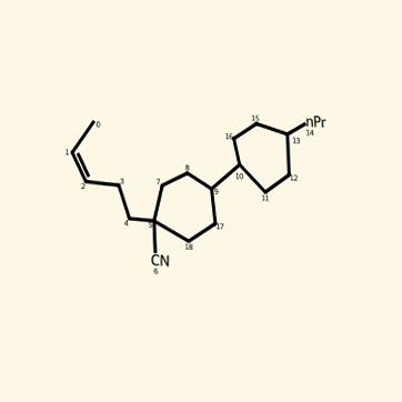 C/C=C\CCC1(C#N)CCC(C2CCC(CCC)CC2)CC1